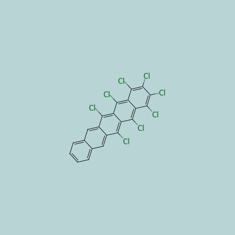 Clc1c(Cl)c(Cl)c2c(Cl)c3c(Cl)c4cc5ccccc5cc4c(Cl)c3c(Cl)c2c1Cl